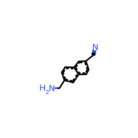 N#Cc1ccc2cc(CN)ccc2c1